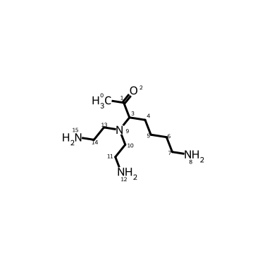 CC(=O)C(CCCCN)N(CCN)CCN